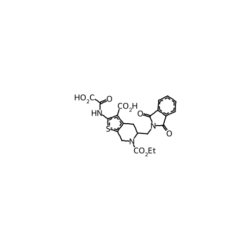 CCOC(=O)N1Cc2sc(NC(=O)C(=O)O)c(C(=O)O)c2CC1CN1C(=O)c2ccccc2C1=O